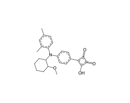 COC1CCCCC1N(c1ccc(-c2c(O)c(=O)c2=O)cc1)c1ccc(C)cc1C